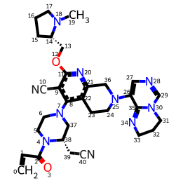 C=CC(=O)N1CCN(c2c(C#N)c(OC[C@@H]3CCCN3C)nc3c2CCN(C2=CN=CN4CCCN=C24)C3)C[C@@H]1CC#N